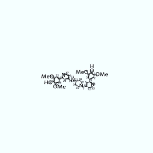 COc1cc(-c2cc(CN3CCC(N(C)Cc4ccnc(-c5cc(OC)c(O)c(OC)c5)c4)CC3)ccn2)cc(OC)c1O